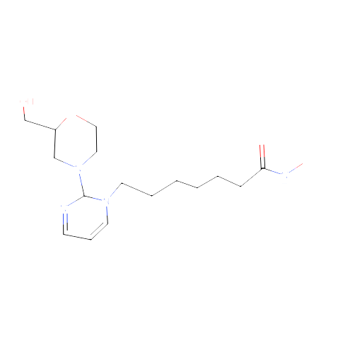 O=C(CCCCCCN1C=CC=NC1N1CCOC(CO)C1)NO